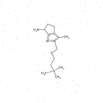 Cc1c2c(nn1COCCS(C)(C)C)C(N)CC2